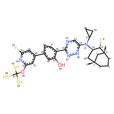 C[C@]12CCC[C@](C)(C1)[C@H](F)[C@H](N(c1cnc(-c3ccc(-c4cc(F)nc(OC(S)(S)S)c4)cc3O)nn1)C1CC1)C2